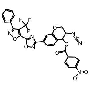 [N-]=[N+]=NC1COc2cc(-c3noc(-c4onc(-c5ccccc5)c4C(F)(F)F)n3)ccc2C1OC(=O)c1ccc([N+](=O)[O-])cc1